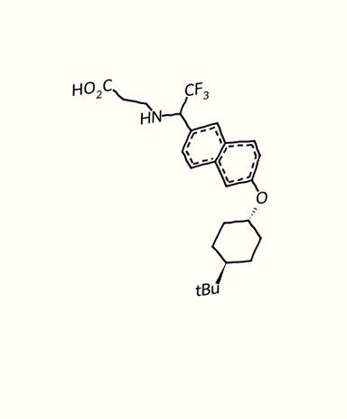 CC(C)(C)[C@H]1CC[C@H](Oc2ccc3cc(C(NCCC(=O)O)C(F)(F)F)ccc3c2)CC1